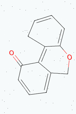 O=C1C=CC=C2COC3=CC=CCC3=C12